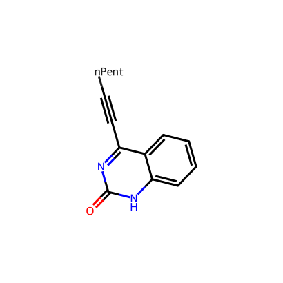 CCCCCC#Cc1nc(=O)[nH]c2ccccc12